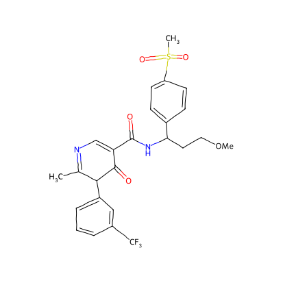 COCCC(NC(=O)C1=CN=C(C)C(c2cccc(C(F)(F)F)c2)C1=O)c1ccc(S(C)(=O)=O)cc1